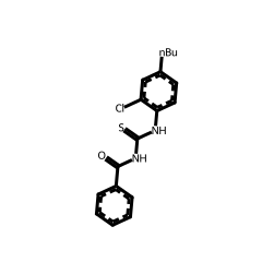 CCCCc1ccc(NC(=S)NC(=O)c2ccccc2)c(Cl)c1